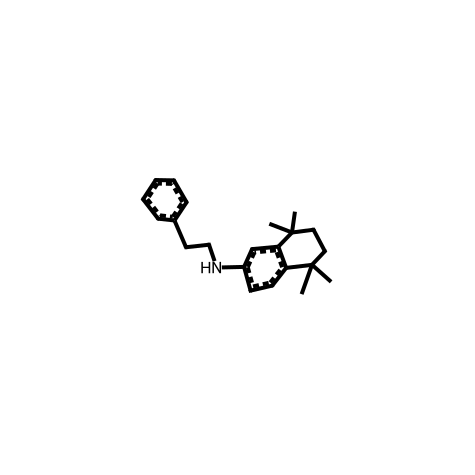 CC1(C)CCC(C)(C)c2cc(NCCc3ccccc3)ccc21